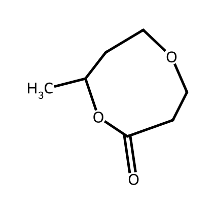 CC1CCOCCC(=O)O1